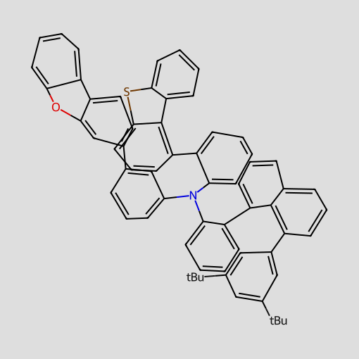 CC(C)(C)c1cc(-c2cccc3cccc(-c4ccccc4N(c4cccc(-c5ccc6c(c5)oc5ccccc56)c4)c4ccccc4-c4cccc5sc6ccccc6c45)c23)cc(C(C)(C)C)c1